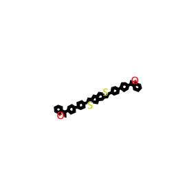 c1ccc2c(-c3ccc(-c4ccc(-c5cc6cc7cc8sc(-c9ccc(-c%10ccc(-c%11coc%12ccccc%11%12)cc%10)cc9)cc8cc7cc6s5)cc4)cc3)coc2c1